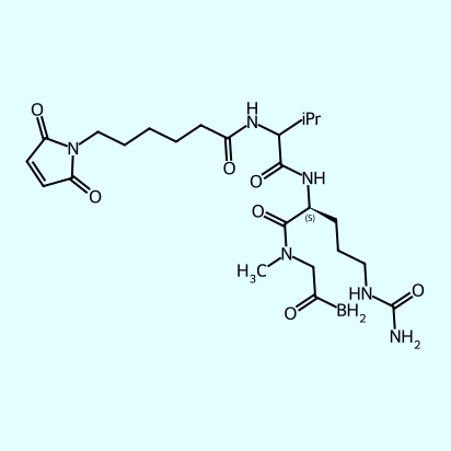 BC(=O)CN(C)C(=O)[C@H](CCCNC(N)=O)NC(=O)C(NC(=O)CCCCCN1C(=O)C=CC1=O)C(C)C